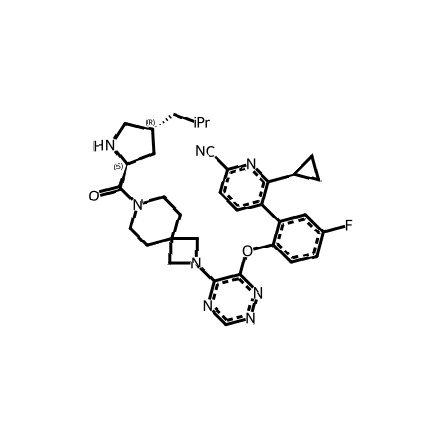 CC(C)C[C@H]1CN[C@H](C(=O)N2CCC3(CC2)CN(c2ncnnc2Oc2ccc(F)cc2-c2ccc(C#N)nc2C2CC2)C3)C1